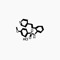 COc1ccc(S(=O)(=O)Nc2ccccc2/C=C/c2ccncc2)cc1.Cl